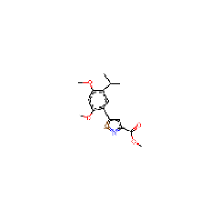 COC(=O)c1cc(-c2cc(C(C)C)c(OC)cc2OC)sn1